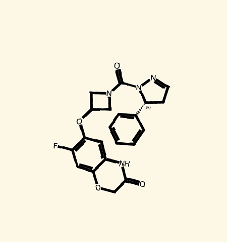 O=C1COc2cc(F)c(OC3CN(C(=O)N4N=CC[C@@H]4c4ccccc4)C3)cc2N1